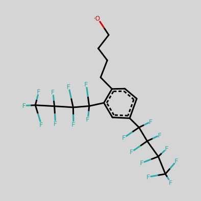 [O]CCCCc1ccc(C(F)(F)C(F)(F)C(F)(F)C(F)(F)F)cc1C(F)(F)C(F)(F)C(F)(F)C(F)(F)F